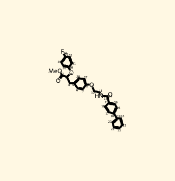 COC(=O)C(Cc1ccc(OCCNC(=O)c2ccc(-c3ccccc3)cc2)cc1)Oc1ccc(F)cc1